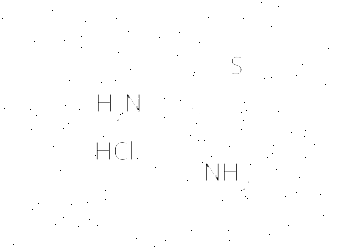 Cl.NC(N)=S